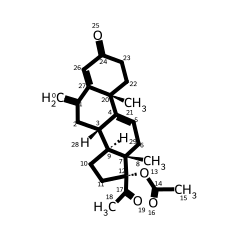 C=C1C[C@@H]2C(=CC[C@@]3(C)[C@H]2CC[C@]3(OC(C)=O)C(C)=O)[C@@]2(C)CCC(=O)C=C12